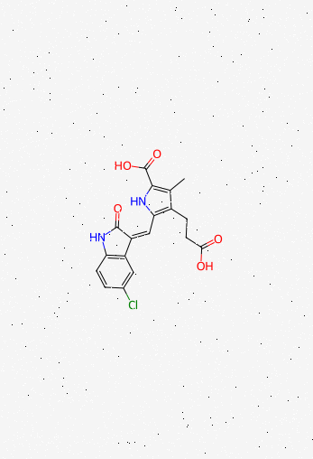 Cc1c(C(=O)O)[nH]c(C=C2C(=O)Nc3ccc(Cl)cc32)c1CCC(=O)O